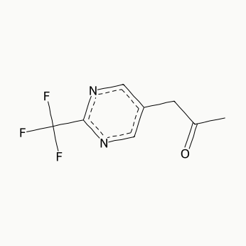 CC(=O)Cc1cnc(C(F)(F)F)nc1